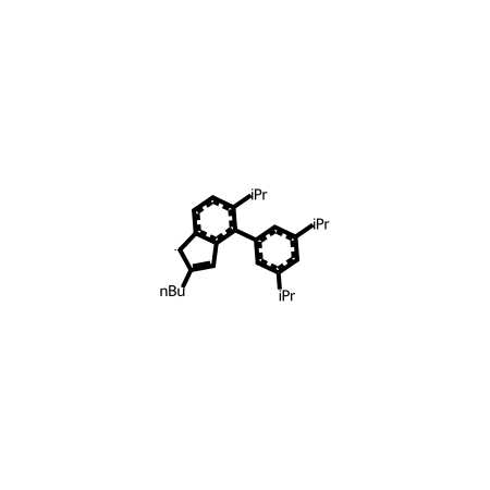 CCCCC1=Cc2c(ccc(C(C)C)c2-c2cc(C(C)C)cc(C(C)C)c2)[CH]1